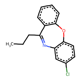 CCCC1=Nc2cc(Cl)ccc2Oc2ccccc21